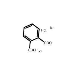 Cl.O=C([O-])c1ccccc1C(=O)[O-].[K+].[K+]